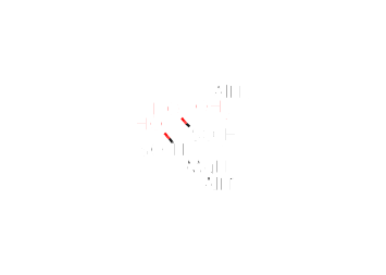 O.O=S(=O)(O)O.O=S(=O)(O)O.[AlH3].[AlH3].[MgH2]